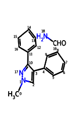 Cn1cc(-c2ccccc2)c(-c2ccccc2)n1.NC=O